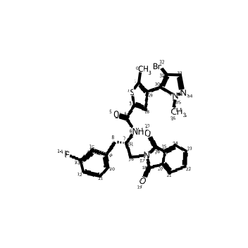 Cc1sc(C(=O)N[C@@H](Cc2cccc(F)c2)CN2C(=O)c3ccccc3C2=O)cc1-c1c(Br)cnn1C